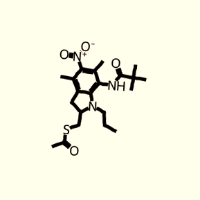 CCCN1c2c(c(C)c([N+](=O)[O-])c(C)c2NC(=O)C(C)(C)C)CC1CSC(C)=O